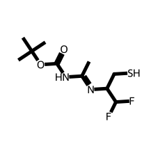 C/C(=N\C(CS)C(F)F)NC(=O)OC(C)(C)C